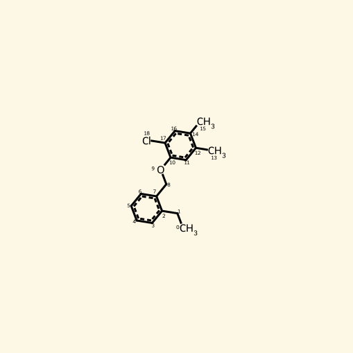 CCc1ccccc1COc1cc(C)c(C)cc1Cl